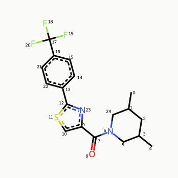 CC1CC(C)CN(C(=O)c2csc(-c3ccc(C(F)(F)F)cc3)n2)C1